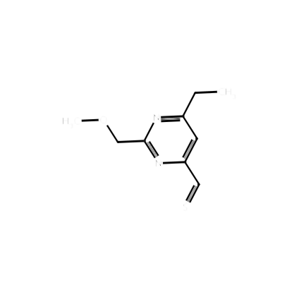 CCc1cc(C=S)nc(COC)n1